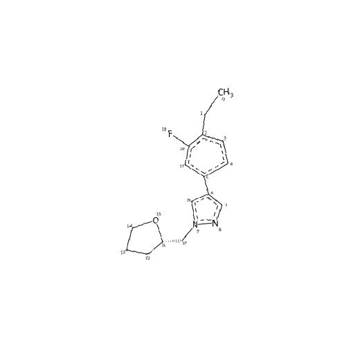 CCc1ccc(-c2cnn(C[C@@H]3CCCO3)c2)cc1F